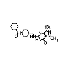 Cn1nc(C(C)(C)C)c2nc(NCC3CCN(C(=O)C4CCCCC4)CC3)[nH]c(=O)c21